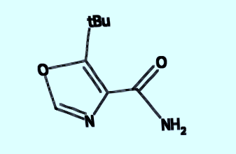 CC(C)(C)c1ocnc1C(N)=O